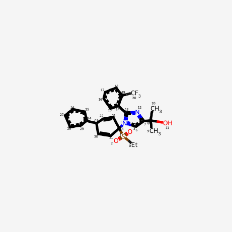 CCS(=O)(=O)C1(n2cc(C(C)(C)O)nc2-c2ccccc2C(F)(F)F)C=CC(c2ccccc2)C=C1